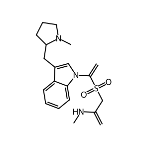 C=C(CS(=O)(=O)C(=C)n1cc(CC2CCCN2C)c2ccccc21)NC